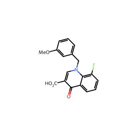 COc1cccc(Cn2cc(C(=O)O)c(=O)c3cccc(F)c32)c1